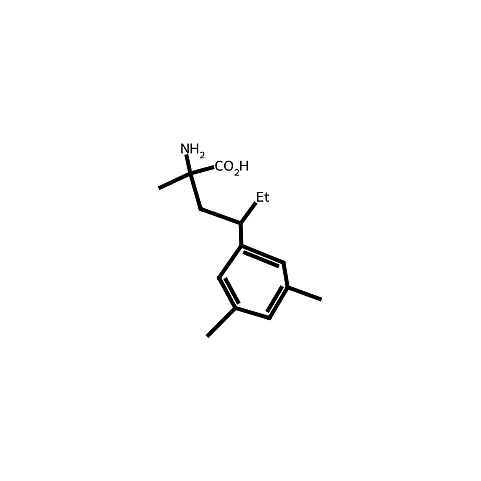 CCC(CC(C)(N)C(=O)O)c1cc(C)cc(C)c1